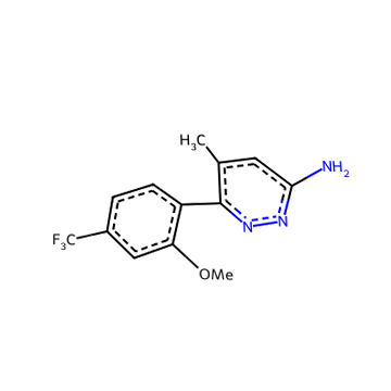 COc1cc(C(F)(F)F)ccc1-c1nnc(N)cc1C